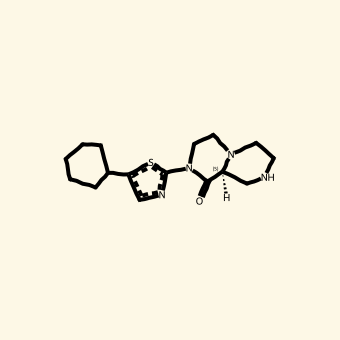 O=C1[C@@H]2CNCCN2CCN1c1ncc(C2CCCCC2)s1